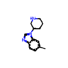 Cc1ccc2ncn(C3CCCNC3)c2c1